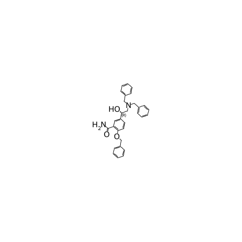 NC(=O)c1cc([C@@H](O)CN(Cc2ccccc2)Cc2ccccc2)ccc1OCc1ccccc1